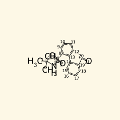 CC(C)(C)NS(=O)(=O)c1ccccc1-c1ccccc1[C]=O